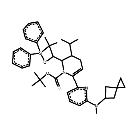 CC(C)C1CC=C(c2cccc(N(C)C3CC4(CC4)C3)n2)N(C(=O)OC(C)(C)C)C1C1O[Si](c2ccccc2)(c2ccccc2)C1(C)C